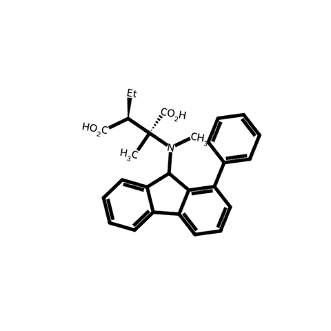 CC[C@H](C(=O)O)[C@@](C)(C(=O)O)N(C)C1c2ccccc2-c2cccc(-c3ccccc3)c21